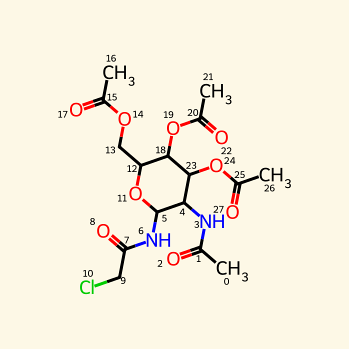 CC(=O)NC1C(NC(=O)CCl)OC(COC(C)=O)C(OC(C)=O)C1OC(C)=O